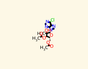 CC(=O)OC[C@H]1O[C@@H](n2cnc3c(Cl)ncnc32)C(C)(O)C1OC(C)=O